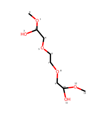 COC(O)COCCOCC(O)OC